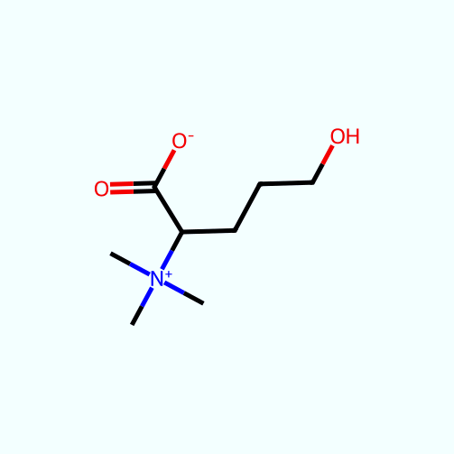 C[N+](C)(C)C(CCCO)C(=O)[O-]